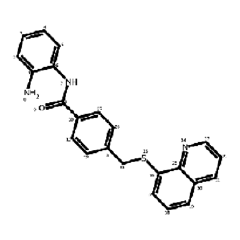 Nc1ccccc1NC(=O)c1ccc(CSc2cccc3cccnc23)cc1